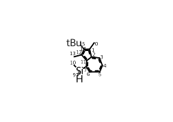 Cc1c2ccccc([SiH](C)C)c-2c(C)c1C(C)(C)C